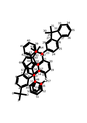 CC(C)(C)c1ccc2c(c1)C1(c3ccccc3Sc3ccc(N(c4ccc5c(c4)C(C)(C)c4ccccc4-5)c4ccccc4-c4ccc(-c5ccccc5)cc4)cc31)c1cc(C(C)(C)C)ccc1-2